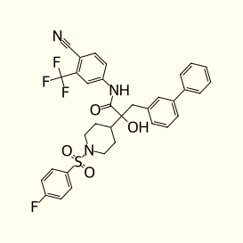 N#Cc1ccc(NC(=O)C(O)(Cc2cccc(-c3ccccc3)c2)C2CCN(S(=O)(=O)c3ccc(F)cc3)CC2)cc1C(F)(F)F